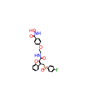 O=C(NO)c1ccc(OCCNC(=O)c2oc3ccccc3c2C[S+]([O-])c2ccc(F)cc2)cc1